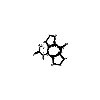 C=C(N)Nc1c2c(c(F)c3c1CCC3)CCC2